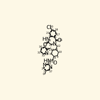 Cc1cnc(NC(=O)C2CCC(CN3C(=O)c4ccc(Cl)cc4NC(=O)[C@H]3Cc3ccccn3)CC2)nc1